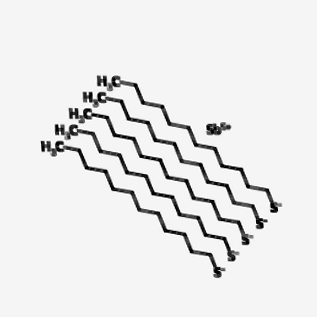 CCCCCCCCCCCC[S-].CCCCCCCCCCCC[S-].CCCCCCCCCCCC[S-].CCCCCCCCCCCC[S-].CCCCCCCCCCCC[S-].[Sb+5]